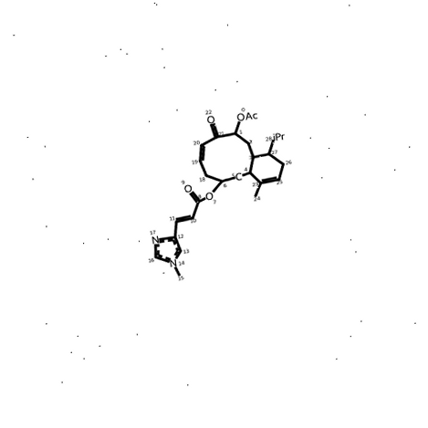 CC(=O)OC1CC2C(CC(OC(=O)C=Cc3cn(C)cn3)CC=CC1=O)C(C)=CCC2C(C)C